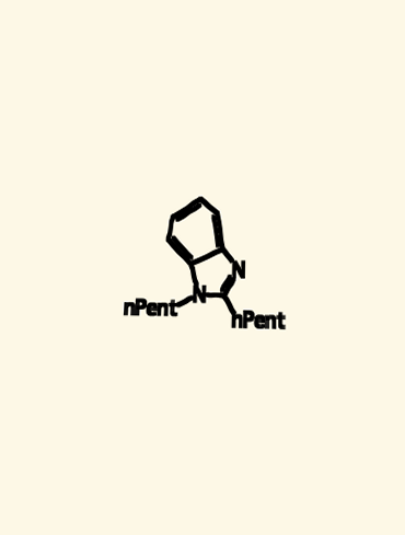 CCCCCc1nc2ccccc2n1CCCCC